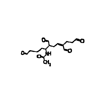 CC(=O)NC(CCCC=O)C(C=O)C/C=C(\C=O)CCC=O